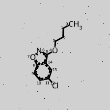 CCCCOc1noc2ccc(Cl)cc12